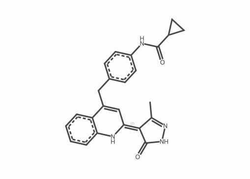 CC1=NNC(=O)/C1=C1/C=C(Cc2ccc(NC(=O)C3CC3)cc2)c2ccccc2N1